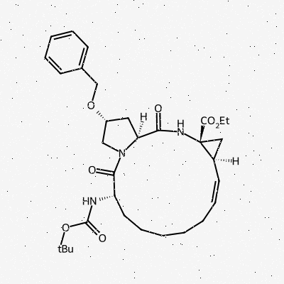 CCOC(=O)[C@@]12C[C@H]1/C=C\CCCCC[C@H](NC(=O)OC(C)(C)C)C(=O)N1C[C@H](OCc3ccccc3)C[C@H]1C(=O)N2